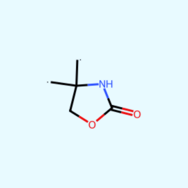 [CH2]C1([CH2])COC(=O)N1